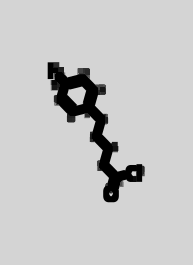 O=C(Cl)CCCCc1ccc(F)cc1